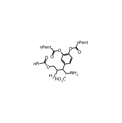 CCCCCC(=O)Oc1ccc(C(C(C)COC(=O)CCC)[C@H](N)C(=O)O)cc1OC(=O)CCCCC